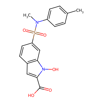 Cc1ccc(N(C)S(=O)(=O)c2ccc3cc(C(=O)O)n(O)c3c2)cc1